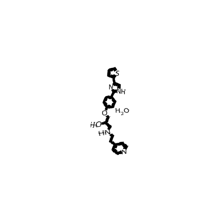 O.OC(CNCCc1ccncc1)COc1ccc(-c2nc(-c3cccs3)c[nH]2)cc1